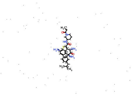 C=CC(=O)N1CCCC(NC(=O)c2sc3c(N)ccc4c3c2C(N)C(=O)C4(N)c2cccc(CC(C)C)c2)C1